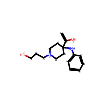 C=C(O)C1(Nc2ccccc2)CCN(CCCO)CC1